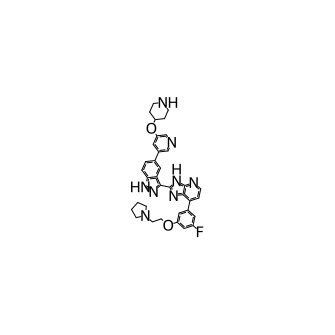 Fc1cc(OCCN2CCCC2)cc(-c2ccnc3[nH]c(-c4n[nH]c5ccc(-c6cncc(OC7CCNCC7)c6)cc45)nc23)c1